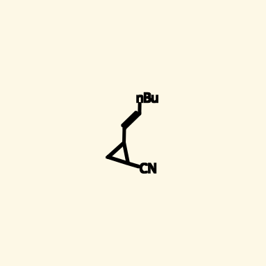 CCCC/C=C/C1CC1C#N